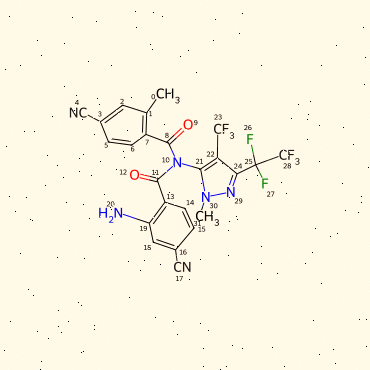 Cc1cc(C#N)ccc1C(=O)N(C(=O)c1ccc(C#N)cc1N)c1c(C(F)(F)F)c(C(F)(F)C(F)(F)F)nn1C